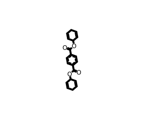 O=C(OC1C=CCC=C1)c1ccc(C(=O)OC2C=CCC=C2)cc1